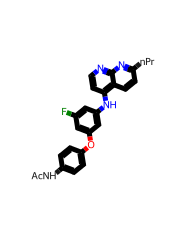 CCCc1ccc2c(Nc3cc(F)cc(Oc4ccc(NC(C)=O)cc4)c3)ccnc2n1